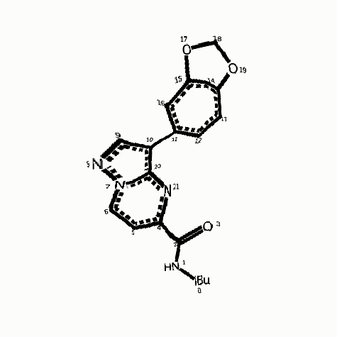 CCC(C)NC(=O)c1ccn2ncc(-c3ccc4c(c3)OCO4)c2n1